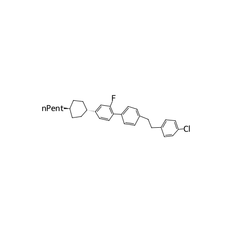 CCCCC[C@H]1CC[C@H](c2ccc(-c3ccc(CCc4ccc(Cl)cc4)cc3)c(F)c2)CC1